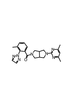 Cc1cc(C)nc(N2CC3CN(C(=O)c4cccc(C)c4-n4nccn4)CC3C2)n1